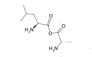 CC(C)C[C@H](N)C(=O)OC(=O)[C@H](C)N